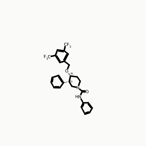 O=C(Nc1ccccc1)N1CC[C@@H](OCc2cc(C(F)(F)F)cc(C(F)(F)F)c2)[C@@H](c2ccccc2)C1